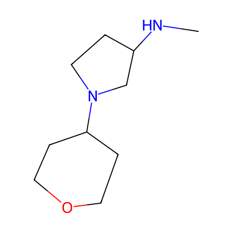 CNC1CCN(C2CCOCC2)C1